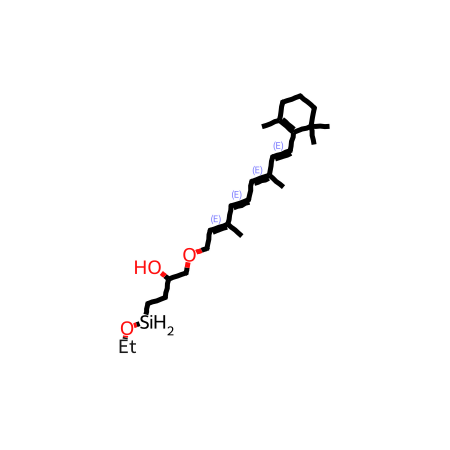 CCO[SiH2]CCC(O)COC/C=C(C)/C=C/C=C(C)/C=C/C1=C(C)CCCC1(C)C